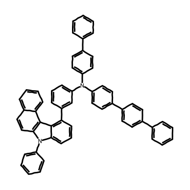 c1ccc(-c2ccc(-c3ccc(N(c4ccc(-c5ccccc5)cc4)c4cccc(-c5cccc6c5c5c7ccccc7ccc5n6-c5ccccc5)c4)cc3)cc2)cc1